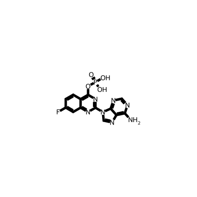 Nc1ncnc2c1ncn2-c1nc(OP(=O)(O)O)c2ccc(F)cc2n1